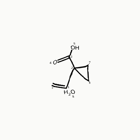 C=CC1(C(=O)O)CC1.O